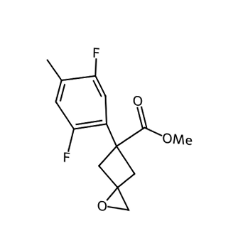 COC(=O)C1(c2cc(F)c(C)cc2F)CC2(CO2)C1